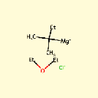 CCOCC.CC[C](C)(C)[Mg+].[Cl-]